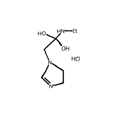 CCNC(O)(O)CN1C=NCC1.Cl